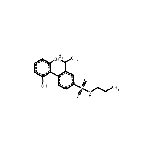 CCCNS(=O)(=O)c1ccc(-c2c(C)cccc2O)c(C(C)C)c1